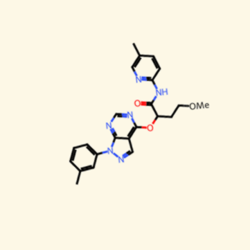 COCCC(Oc1ncnc2c1cnn2-c1cccc(C)c1)C(=O)Nc1ccc(C)cn1